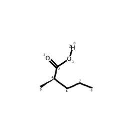 [2H]OC(=O)[C@H](C)CCC